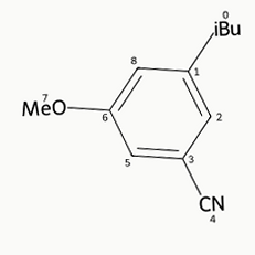 CCC(C)c1cc(C#N)cc(OC)c1